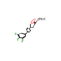 CCCCCC1CCC(c2ccc(-c3cc(F)c(F)c(F)c3)cc2)=CO1